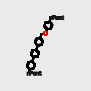 CCCCCc1ccc(OCc2ccc(-c3ccc(C4C=CC(CCCCC)CC4)cc3)cc2)cc1